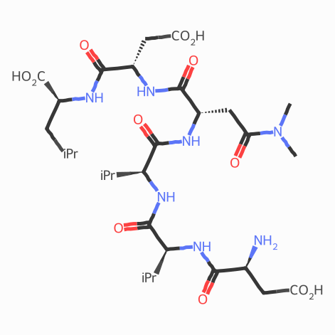 CC(C)C[C@H](NC(=O)[C@H](CC(=O)O)NC(=O)[C@H](CC(=O)N(C)C)NC(=O)[C@@H](NC(=O)[C@@H](NC(=O)[C@@H](N)CC(=O)O)C(C)C)C(C)C)C(=O)O